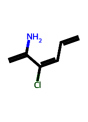 C=C/C=C(/Cl)C(=C)N